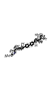 COO/C=N\[C@H](C(=O)N[C@H](c1ncc(-c2ccc(-c3ccc(-c4cnc([C@@H](NC(=O)[C@@H](NC(=O)OC)C(C)C)C(C)C)[nH]4)cc3)cc2)[nH]1)C(C)C)C(C)C